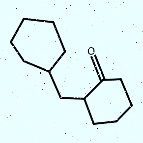 O=C1CCCCC1CC1CCCCC1